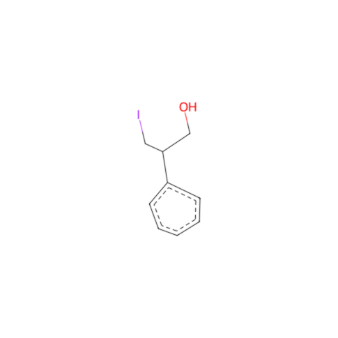 OCC(CI)c1ccccc1